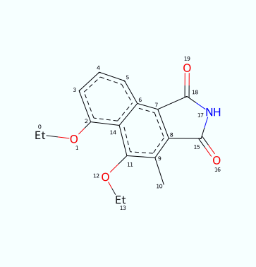 CCOc1cccc2c3c(c(C)c(OCC)c12)C(=O)NC3=O